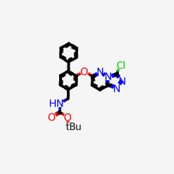 CC(C)(C)OC(=O)NCc1ccc(-c2ccccc2)c(Oc2ccc3nnc(Cl)n3n2)c1